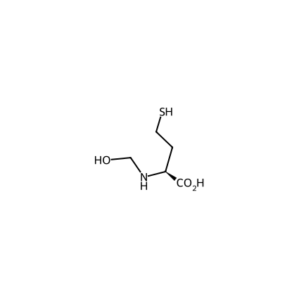 O=C(O)[C@H](CCS)NCO